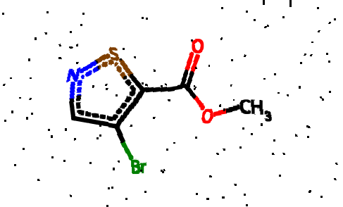 COC(=O)c1sncc1Br